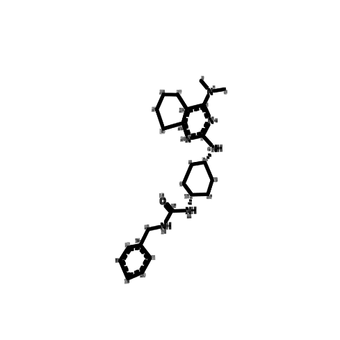 CN(C)c1nc(N[C@H]2CC[C@@H](NC(=O)NCc3ccccc3)CC2)nc2c1CCCC2